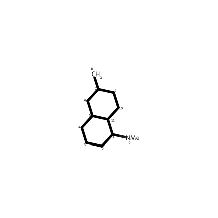 CNC1CCCC2CC(C)CCC21